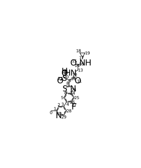 Cc1cc(-c2cc3sc(C(C(=O)NCC(=O)NC4CC4)[SH](=O)=O)nc3cc2F)ccn1